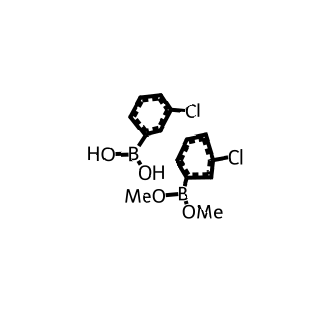 COB(OC)c1cccc(Cl)c1.OB(O)c1cccc(Cl)c1